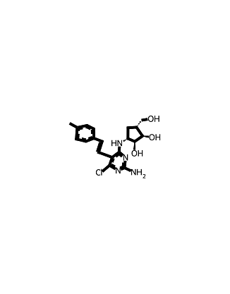 Cc1ccc(/C=C/c2c(Cl)nc(N)nc2N[C@@H]2C[C@H](CO)[C@@H](O)[C@H]2O)cc1